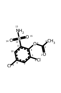 CC(=O)Oc1c(Cl)cc(Cl)cc1S(N)(=O)=O